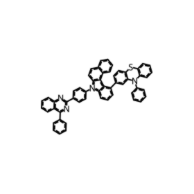 c1ccc(-c2nc(-c3ccc(-n4c5cccc(-c6ccc7c(c6)N(c6ccccc6)c6ccccc6S7)c5c5c6ccccc6ccc54)cc3)nc3ccccc23)cc1